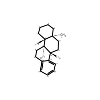 C[C@@]12CCCC[C@H]1[C@@H]1CCc3ccccc3[C@H]1CC2